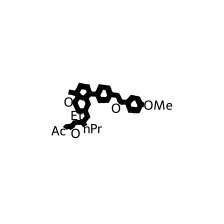 CCCC(CC1CC(=O)c2c(C)ccc(-c3ccc(CC(=O)c4ccc(OC)cc4)cc3)c2C1)C(CC)C(=O)CC(C)=O